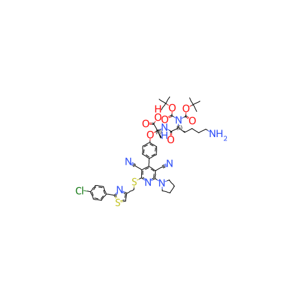 CC(C)(C)OC(=O)N(C(=O)OC(C)(C)C)[C@@H](CCCCN)C(=O)N[C@](C)(Oc1ccc(-c2c(C#N)c(SCc3csc(-c4ccc(Cl)cc4)n3)nc(N3CCCC3)c2C#N)cc1)C(=O)O